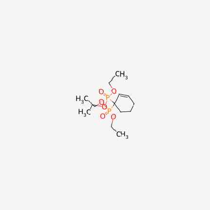 CCOP(=O)(OCC)C1(P(=O)(OCC)OCC)C=CCCC1